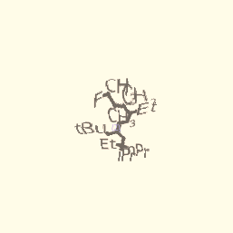 CCCC(CC)(C/C(=C\CC(CC)C(C)C(C)C(C)F)CC(C)(C)C)C(C)C